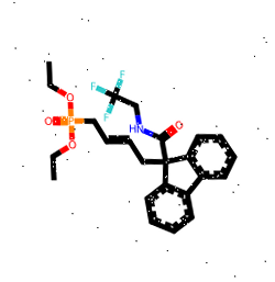 CCOP(=O)(CC=CCC1(C(=O)NCC(F)(F)F)c2ccccc2-c2ccccc21)OCC